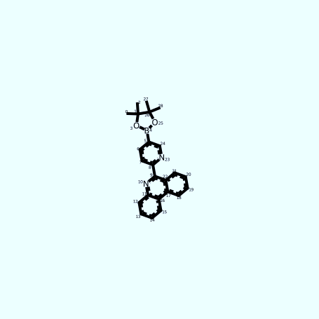 CC1(C)OB(c2ccc(-c3nc4ccccc4c4ccccc34)nc2)OC1(C)C